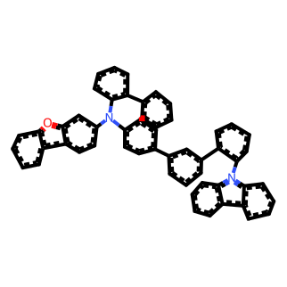 c1ccc(-c2ccccc2N(c2ccc(-c3cccc(-c4ccccc4-n4c5ccccc5c5ccccc54)c3)cc2)c2ccc3c(c2)oc2ccccc23)cc1